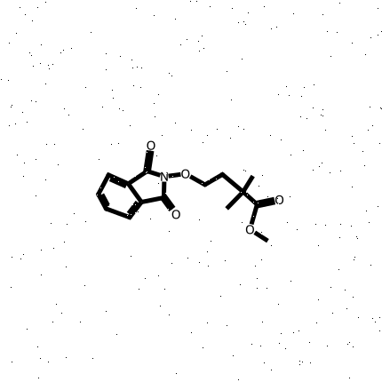 COC(=O)C(C)(C)CCON1C(=O)c2ccccc2C1=O